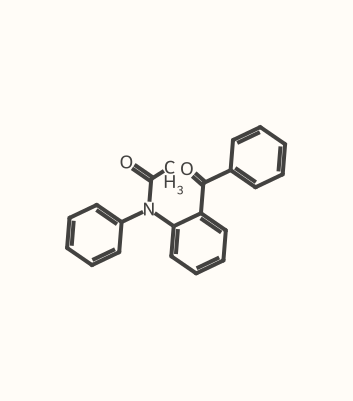 CC(=O)N(c1ccccc1)c1ccccc1C(=O)c1ccccc1